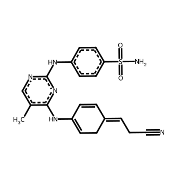 Cc1cnc(Nc2ccc(S(N)(=O)=O)cc2)nc1NC1=CCC(=CCC#N)C=C1